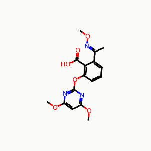 CON=C(C)c1cccc(Oc2nc(OC)cc(OC)n2)c1C(=O)O